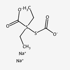 CCS(CC)(SC(=O)[O-])C(=O)[O-].[Na+].[Na+]